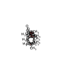 CCCC(=O)O[C@@H]1[C@@H](C)N(C)C[C@H](C)C[C@@](C)(O)[C@H](O[C@@H]2O[C@H](C)CC(N(C)C)[C@H]2OC(=O)CCC(=O)OCC2CCCC2)[C@@H](C)[C@H](O[C@H]2C[C@@](C)(OC)[C@@H](O)[C@H](C)O2)[C@@H](C)C(=O)O[C@H](CC)[C@@]1(C)O